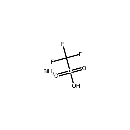 O=S(=O)(O)C(F)(F)F.[BiH3]